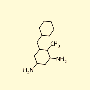 CC1C(N)CC(N)CC1CC1CCCCC1